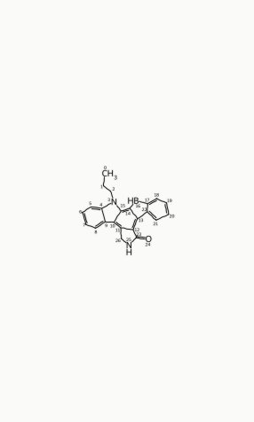 CCCn1c2ccccc2c2c3c(c4c(c21)Bc1ccccc1-4)C(=O)NC3